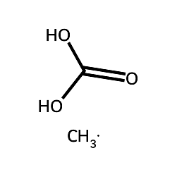 O=C(O)O.[CH3]